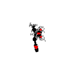 COC(=O)N[C@H](C(=O)NN(Cc1c(F)cc(/C(C=N)=C/NC(F)F)cc1F)C[C@H](O)[C@H](Cc1ccc(C#Cc2ccc(N3CC4CCC(C3)N4C3COC3)nc2)cc1)NC(=O)[C@@H](NC(=O)OC)C(C)(C)C(F)(F)F)C(C)(C)CF